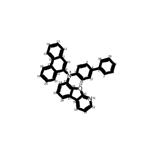 c1ccc(-c2ccc(N(c3cc4ccccc4c4ccccc34)c3cccc4c3oc3ncccc34)cc2)cc1